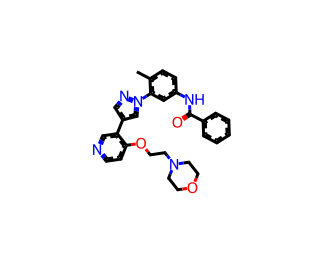 Cc1ccc(NC(=O)c2ccccc2)cc1-n1cc(-c2cnccc2OCCN2CCOCC2)cn1